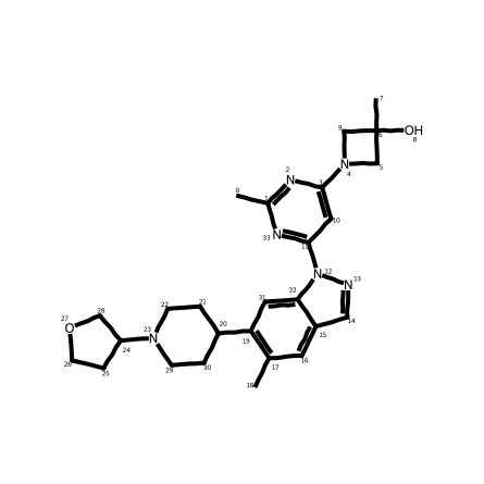 Cc1nc(N2CC(C)(O)C2)cc(-n2ncc3cc(C)c(C4CCN(C5CCOC5)CC4)cc32)n1